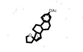 CC(=O)Oc1ccc2c(c1)CCC1C2CC[C@@]2(C)C1C=CC21CCCO1